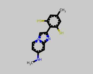 CNc1ccn2cc(-c3c(S)cc(C)cc3S)nc2c1